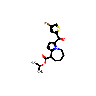 CC(C)OC(=O)C1CCCCn2c(C(=O)c3cc(Br)cs3)ccc21